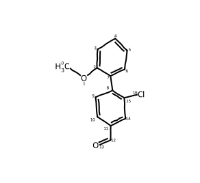 COc1ccccc1-c1ccc(C=O)cc1Cl